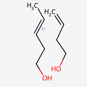 C/C=C/CCO.C=CCCO